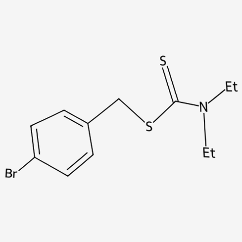 CCN(CC)C(=S)SCc1ccc(Br)cc1